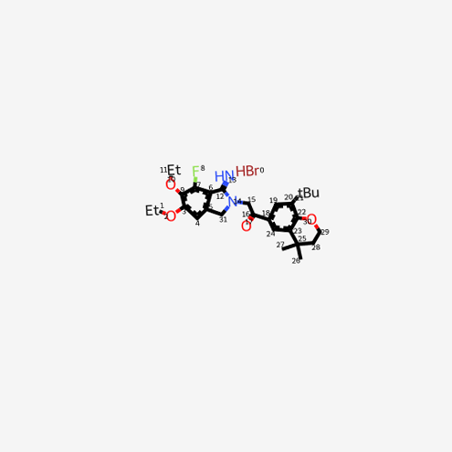 Br.CCOc1cc2c(c(F)c1OCC)C(=N)N(CC(=O)c1cc(C(C)(C)C)c3c(c1)C(C)(C)CCO3)C2